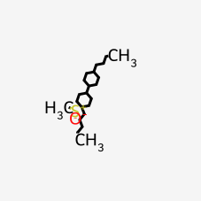 CCCCCC1([S+](C)[O-])CCC(C2CCC(CCCC)CC2)CC1